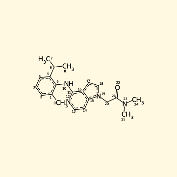 Cc1cccc(C(C)C)c1Nc1nccc2c1ccn2CC(=O)N(C)C